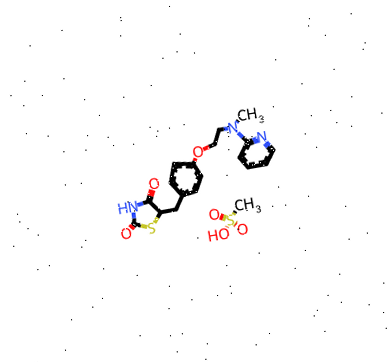 CN(CCOc1ccc(CC2SC(=O)NC2=O)cc1)c1ccccn1.CS(=O)(=O)O